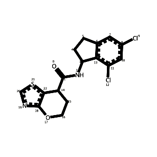 O=C(NC1CCc2cc(Cl)cc(Cl)c21)C1CCOc2ncsc21